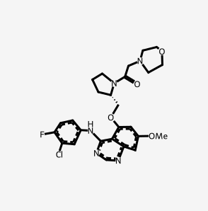 COc1cc(OC[C@@H]2CCCN2C(=O)CN2CCOCC2)c2c(Nc3ccc(F)c(Cl)c3)ncnc2c1